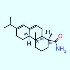 CC(C)C1=CC2=CC[C@@H]3[C@](C)(CCC[C@@]3(C)C(N)=O)[C@H]2CC1